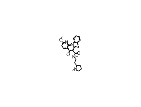 COc1ccc2c(=O)c(C(=O)NCCC3CCCN3C)c3sc4ccccc4n3c2n1